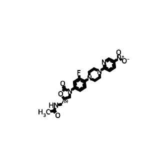 CC(=O)NC[C@H]1CN(c2ccc(N3CCN(c4ccc([N+](=O)[O-])cn4)CC3)c(F)c2)C(=O)O1